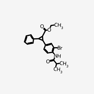 CCOC(=O)C1C(c2ccccc2)C1c1ccc(NC(=O)C(C)C)c(Br)c1